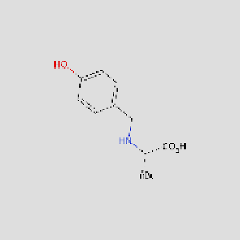 CCCC[C@H](NCc1ccc(O)cc1)C(=O)O